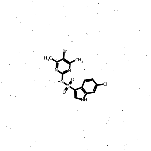 Cc1nc(NS(=O)(=O)c2c[nH]c3cc(Cl)ccc23)nc(C)c1Br